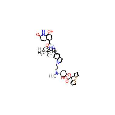 CN(CCCn1ccc2cc(CNC[C@H](O[Si](C)(C)C(C)(C)C)c3ccc(O)c4[nH]c(=O)ccc34)ccc21)[C@H]1CC[C@H](OC(C(=O)O)(c2cccs2)c2cccs2)CC1